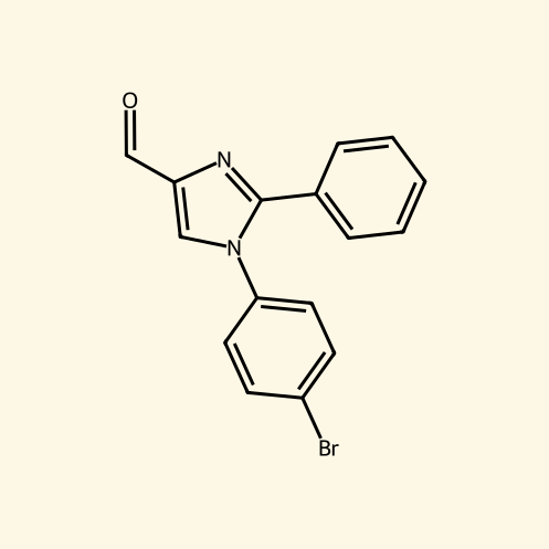 O=Cc1cn(-c2ccc(Br)cc2)c(-c2ccccc2)n1